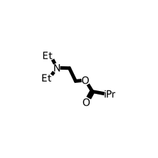 CCN(CC)CCOC(=O)C(C)C